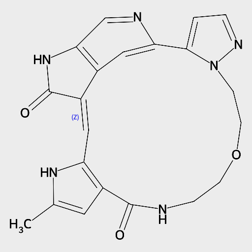 Cc1cc2c([nH]1)/C=C1\C(=O)Nc3cnc(cc31)-c1ccnn1CCOCCNC2=O